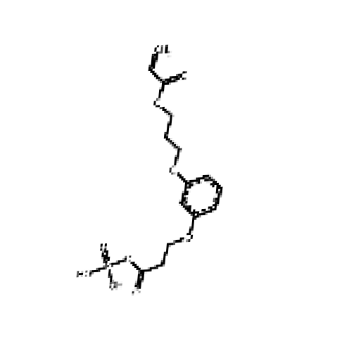 C=CC(=O)OCCCOc1cccc(OCCC(=O)OP(=O)(O)O)c1